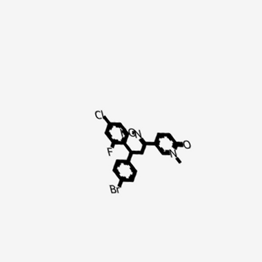 Cn1cc(/C(CC(c2ccc(Br)cc2)c2ccc(Cl)cc2F)=N/O)ccc1=O